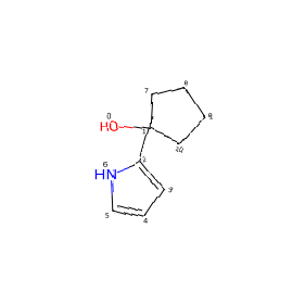 OC1(c2ccc[nH]2)CCCC1